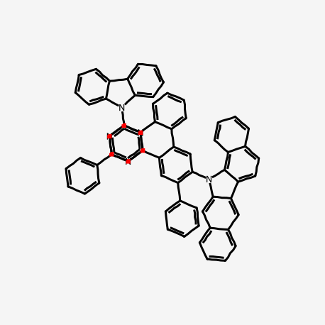 c1ccc(-c2nc(-c3cc(-c4ccccc4)c(-n4c5cc6ccccc6cc5c5ccc6ccccc6c54)cc3-c3ccccc3-c3ccccc3)nc(-n3c4ccccc4c4ccccc43)n2)cc1